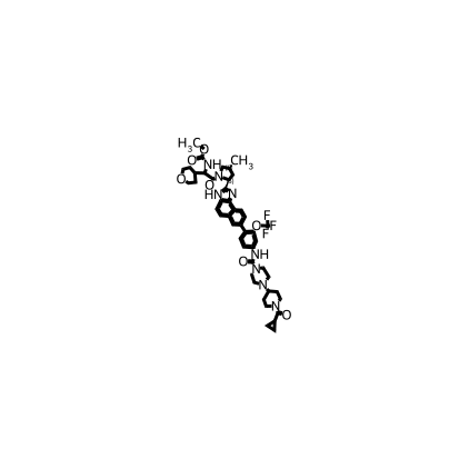 COC(=O)NC(C(=O)N1C[C@@H](C)C[C@H]1c1nc2c(ccc3cc(-c4ccc(NC(=O)N5CCN(C6CCN(C(=O)C7CC7)CC6)CC5)cc4OC(F)(F)F)ccc32)[nH]1)C1CCOCC1